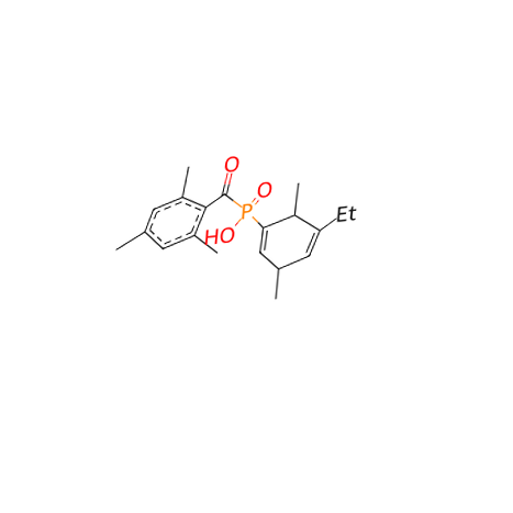 CCC1=CC(C)C=C(P(=O)(O)C(=O)c2c(C)cc(C)cc2C)C1C